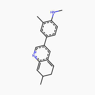 CNc1ccc(-c2cnc3c(c2)=CCC(C)C=3)cc1C